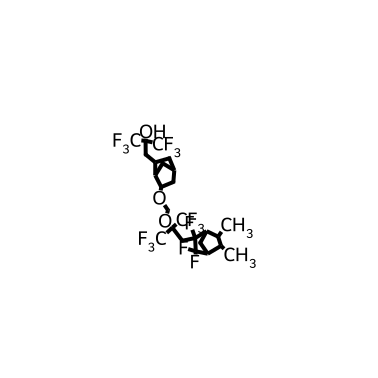 CC1C(C)C2CC1C(F)(F)C2(F)CC(OCOC1CC2CC(CC(O)(C(F)(F)F)C(F)(F)F)C1C2)(C(F)(F)F)C(F)(F)F